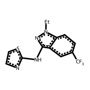 CCn1nc(Nc2nccs2)c2cc(C(F)(F)F)ccc21